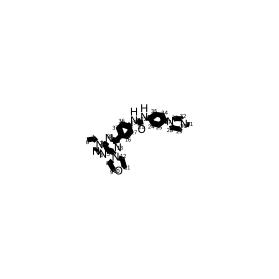 CCn1nnc2c(N3CCOCC3)nc(-c3ccc(NC(=O)Nc4ccc(N5CCN(C)CC5)cc4)cc3)nc21